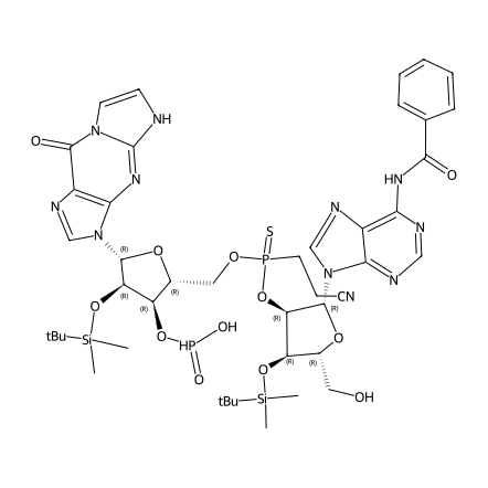 CC(C)(C)[Si](C)(C)O[C@@H]1[C@H](O[PH](=O)O)[C@@H](COP(=S)(CCC#N)O[C@@H]2[C@H](O[Si](C)(C)C(C)(C)C)[C@@H](CO)O[C@H]2n2cnc3c(NC(=O)c4ccccc4)ncnc32)O[C@H]1n1cnc2c(=O)n3cc[nH]c3nc21